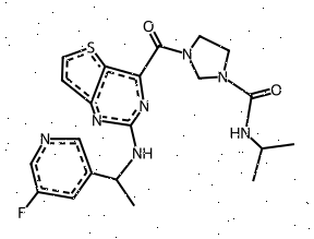 CC(C)NC(=O)N1CCN(C(=O)c2nc(NC(C)c3cncc(F)c3)nc3ccsc23)C1